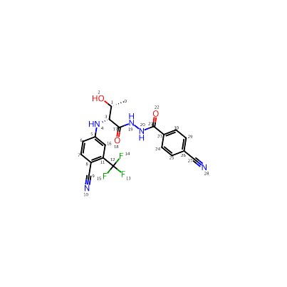 C[C@@H](O)[C@@H](Nc1ccc(C#N)c(C(F)(F)F)c1)C(=O)NNC(=O)c1ccc(C#N)cc1